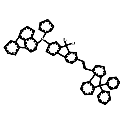 CCC1(CC)c2cc(/C=C/c3cccc4c3-c3ccccc3C4(c3ccccc3)c3ccccc3)ccc2-c2ccc(N(c3ccccc3)c3ccc4c5c(cccc35)-c3ccccc3-4)cc21